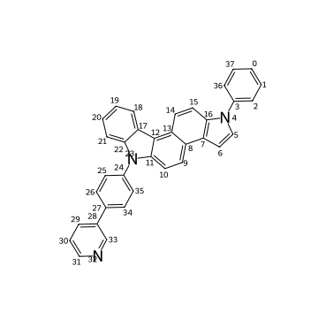 c1ccc(-n2ccc3c4ccc5c(c4ccc32)c2ccccc2n5-c2ccc(-c3cccnc3)cc2)cc1